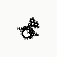 CCOC(=O)[C@@]12C[C@H]1/C=C\CCCCC[C@H](N)C(=O)N1C[C@H](Oc3nc4cc(F)ccc4c4ccccc34)C[C@H]1C(=O)N2